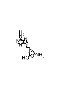 NCCN(CCn1cnc2c(N)ncnc21)CC(=O)O